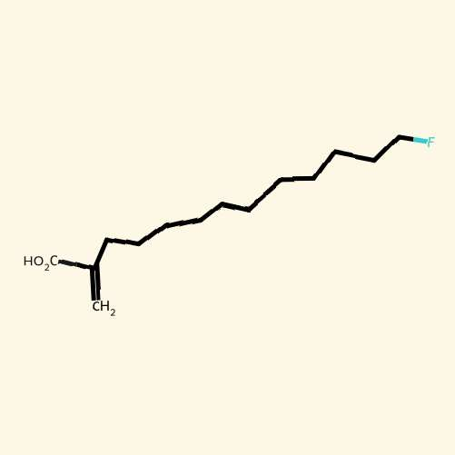 C=C(CCCCCCCCCCCF)C(=O)O